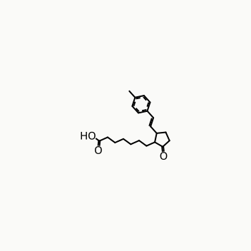 Cc1ccc(/C=C/C2CCC(=O)C2CCCCCCC(=O)O)cc1